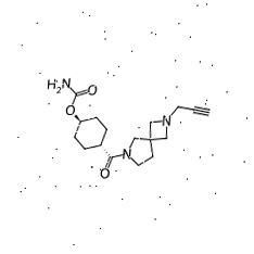 C#CCN1CC2(CCN(C(=O)[C@H]3CC[C@H](OC(N)=O)CC3)C2)C1